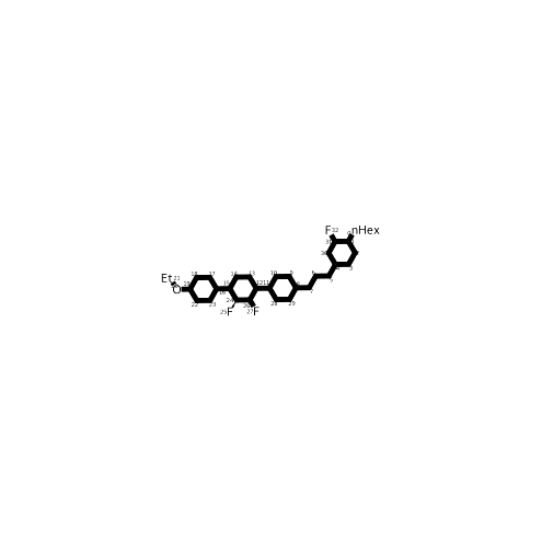 CCCCCCC1CCC(CCCC2CCC(C3CCC(C4CCC(OCC)CC4)[C@@H](F)C3F)CC2)CC1F